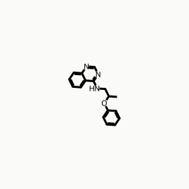 CC(CNc1ncnc2ccccc12)Oc1ccccc1